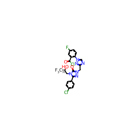 O=C(Cl)c1cc(F)ccc1-n1cnc(Cn2nc(-c3ccc(Cl)cc3)n(C[C@H](O)C(F)(F)F)c2=O)n1